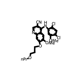 CCCOCCCOc1cc2ncc(C#N)c(Nc3cc(OC)c(Cl)cc3Cl)c2cc1OC